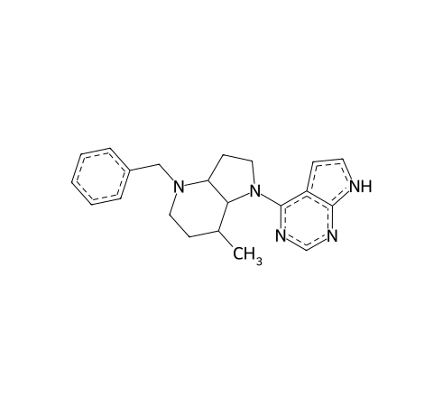 CC1CCN(Cc2ccccc2)C2CCN(c3ncnc4[nH]ccc34)C12